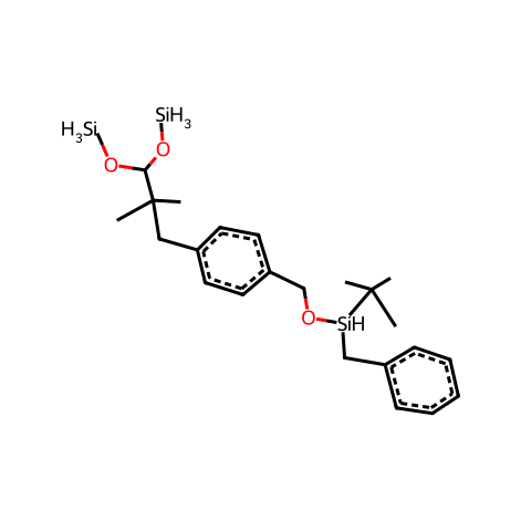 CC(C)(Cc1ccc(CO[SiH](Cc2ccccc2)C(C)(C)C)cc1)C(O[SiH3])O[SiH3]